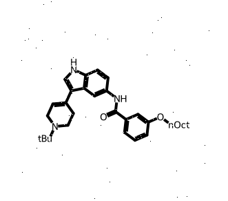 CCCCCCCCOc1cccc(C(=O)Nc2ccc3[nH]cc(C4=CCN(C(C)(C)C)CC4)c3c2)c1